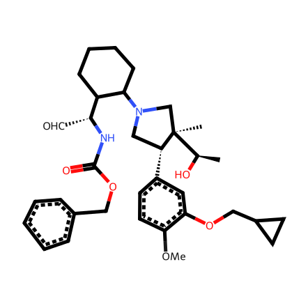 COc1ccc([C@@H]2CN(C3CCCCC3[C@@H](C=O)NC(=O)OCc3ccccc3)C[C@@]2(C)[C@@H](C)O)cc1OCC1CC1